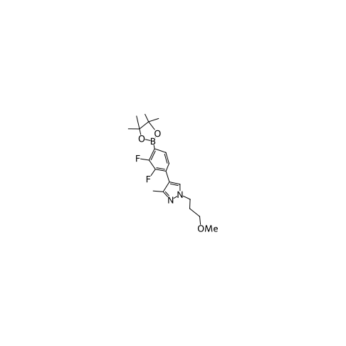 COCCCn1cc(-c2ccc(B3OC(C)(C)C(C)(C)O3)c(F)c2F)c(C)n1